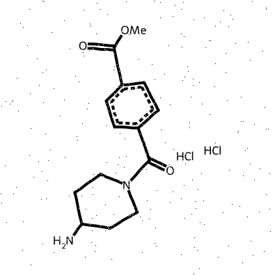 COC(=O)c1ccc(C(=O)N2CCC(N)CC2)cc1.Cl.Cl